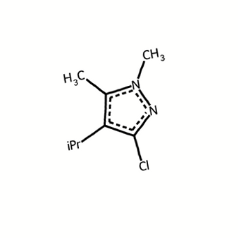 Cc1c(C(C)C)c(Cl)nn1C